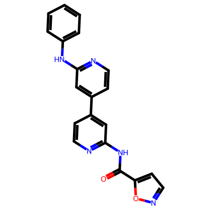 O=C(Nc1cc(-c2ccnc(Nc3ccccc3)c2)ccn1)c1ccno1